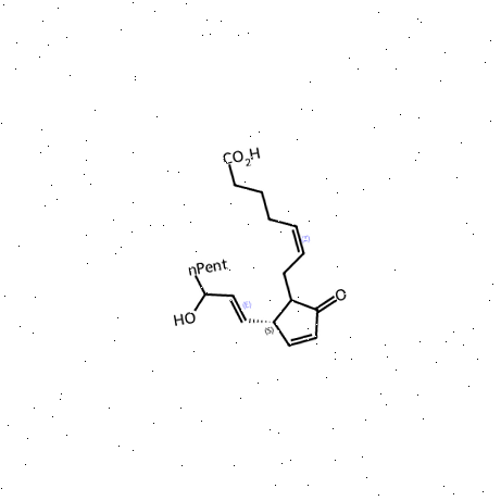 CCCCCC(O)/C=C/[C@H]1C=CC(=O)C1C/C=C\CCCC(=O)O